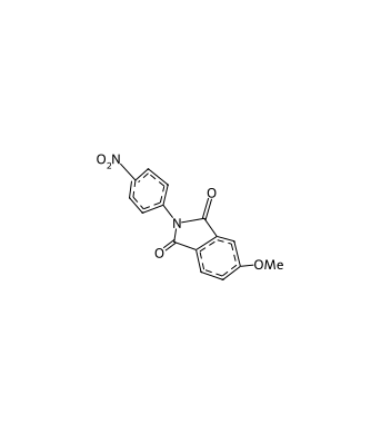 COc1ccc2c(c1)C(=O)N(c1ccc([N+](=O)[O-])cc1)C2=O